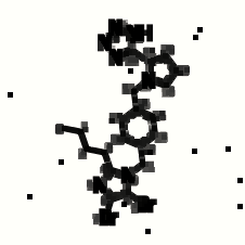 CCCCc1nc(Br)c(Br)n1Cc1ccc(Cn2cccc2-c2nnn[nH]2)cc1